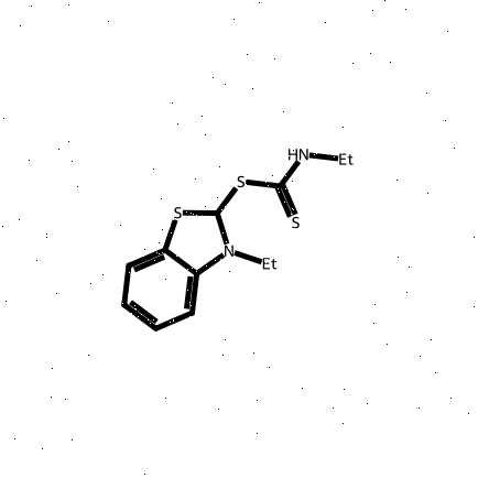 CCNC(=S)SC1Sc2ccccc2N1CC